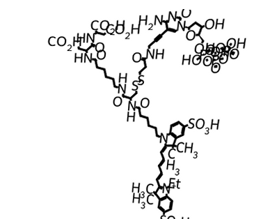 CC[N+]1=C(/C=C/C=C/C=C2/N(CCCCCC(=O)NC(CSSCCC(=O)NCC#Cc3cn([C@H]4CC(O)[C@@H](COP(=O)(O)OP(=O)(O)OP(=O)(O)O)O4)c(=O)nc3N)C(=O)NCCCCCC(=O)NC(CC(=O)O)C(=O)NC(CC(=O)O)C(=O)O)c3ccc(S(=O)(=O)O)cc3C2(C)C)C(C)(C)c2cc(S(=O)(=O)O)ccc21